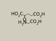 NCC(=O)O.O=C(O)CCC(=O)C(=O)O